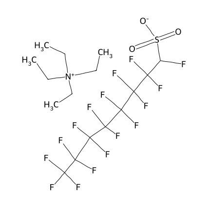 CC[N+](CC)(CC)CC.O=S(=O)([O-])C(F)C(F)(F)C(F)(F)C(F)(F)C(F)(F)C(F)(F)C(F)(F)C(F)(F)F